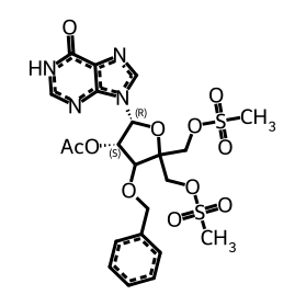 CC(=O)O[C@H]1C(OCc2ccccc2)C(COS(C)(=O)=O)(COS(C)(=O)=O)O[C@H]1n1cnc2c(=O)[nH]cnc21